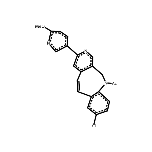 COc1ccc(-c2cc3c(cn2)CN(C(C)=O)c2ccc(Cl)cc2/C=C\3)cn1